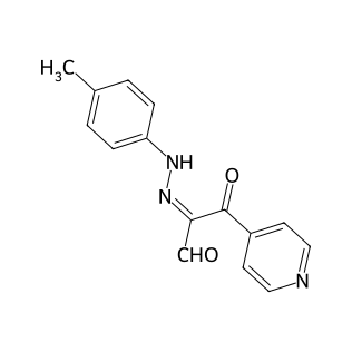 Cc1ccc(NN=C(C=O)C(=O)c2ccncc2)cc1